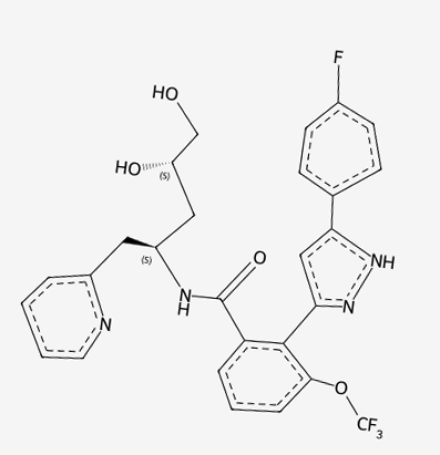 O=C(N[C@@H](Cc1ccccn1)C[C@H](O)CO)c1cccc(OC(F)(F)F)c1-c1cc(-c2ccc(F)cc2)[nH]n1